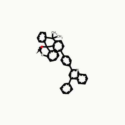 CC1(C)c2ccccc2C2(c3ccccc3Oc3ccccc32)c2cc(-c3ccc(-c4cc(-c5ccccc5)c5ccccc5n4)cc3)ccc21